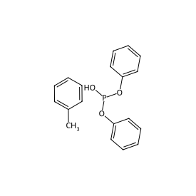 Cc1ccccc1.OP(Oc1ccccc1)Oc1ccccc1